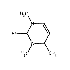 CCC1N(C)C=CC(C)N1C